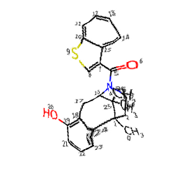 CC12CCN(C(=O)c3csc4ccccc34)C(Cc3c(O)cccc31)C2(C)C